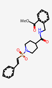 COC(=O)c1ccccc1CNC(=O)C1CCN(S(=O)(=O)/C=C/c2ccccc2)CC1